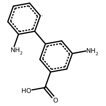 Nc1cc(C(=O)O)cc(-c2[c]cccc2N)c1